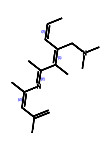 C=C(C)\C=C(C)/N=C(C)/C(C)=C(\C=C/C)CN(C)C